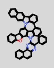 c1ccc(-c2nc3ccc4ccccc4c3nc2-n2c3cccc4c5cccc6c7cc8ccccc8cc7n(c7cc8c9ccccc9oc8c2c7c43)c56)cc1